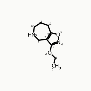 CCOc1noc2c1CNCCC2